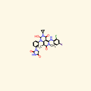 Cc1c2c(c(Nc3ccc(I)cc3F)n(C)c1=O)C(=O)N(C1CC1)C(O)N2c1cccc(N2CC(=O)NC2=O)c1